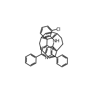 Clc1ccccc1Nc1cc2ccc1CCc1ccc(c(-c3nc(-c4ccccc4)nc(-c4ccccc4)n3)c1)CC2